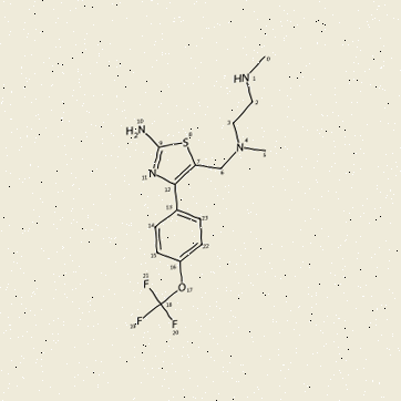 CNCCN(C)Cc1sc(N)nc1-c1ccc(OC(F)(F)F)cc1